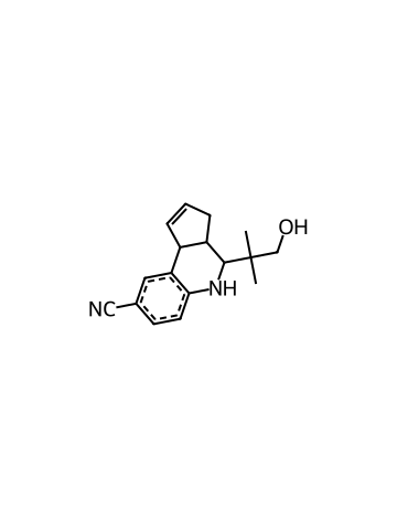 CC(C)(CO)C1Nc2ccc(C#N)cc2C2C=CCC21